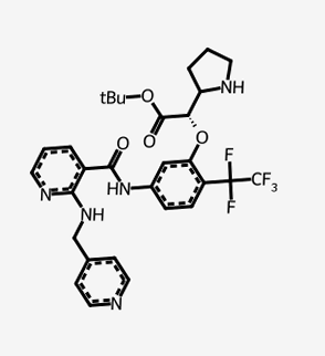 CC(C)(C)OC(=O)[C@@H](Oc1cc(NC(=O)c2cccnc2NCc2ccncc2)ccc1C(F)(F)C(F)(F)F)C1CCCN1